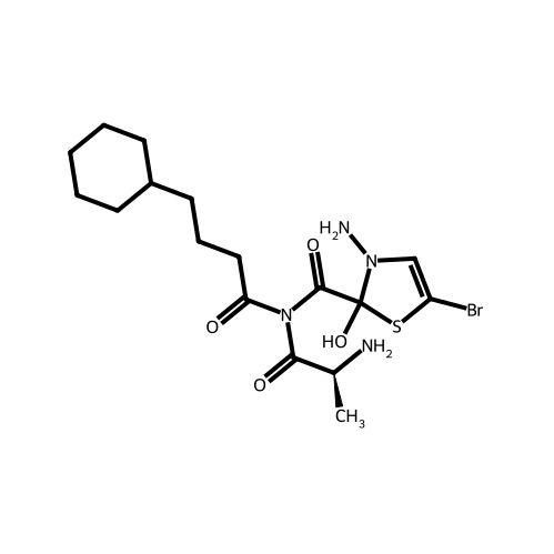 C[C@H](N)C(=O)N(C(=O)CCCC1CCCCC1)C(=O)C1(O)SC(Br)=CN1N